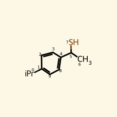 CC(C)c1ccc(C(C)S)cc1